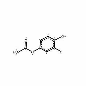 Cc1cc(OC(N)=O)ccc1Cl